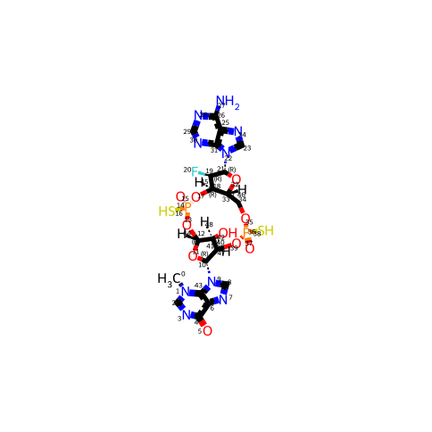 Cn1cnc(=O)c2ncn([C@@H]3O[C@@H]4OP(=O)(S)O[C@H]5[C@@H](F)[C@H](n6cnc7c(N)ncnc76)O[C@@H]5COP(=O)(S)O[C@@H]3[C@@H]4O)c21